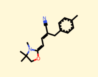 Cc1ccc(C/C(C#N)=C\C=C2\OCC(C)(C)N2C)cc1